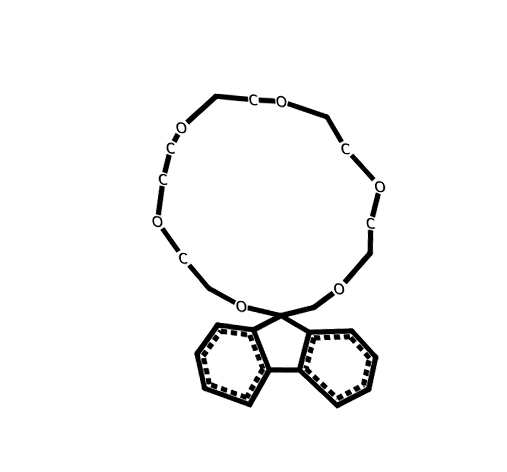 c1ccc2c(c1)-c1ccccc1C21COCCOCCOCCOCCOCCO1